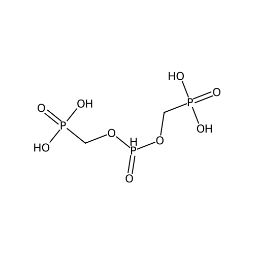 O=[PH](OCP(=O)(O)O)OCP(=O)(O)O